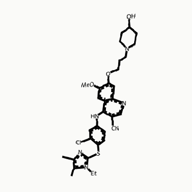 CCn1c(Sc2ccc(Nc3c(C#N)cnc4cc(OCCCN5CCC(O)CC5)c(OC)cc34)cc2Cl)nc(C)c1C